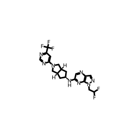 FC(F)Cn1ncc2ncc(N[C@H]3C[C@@H]4CN(c5cc(C(F)(F)F)ncn5)C[C@@H]4C3)nc21